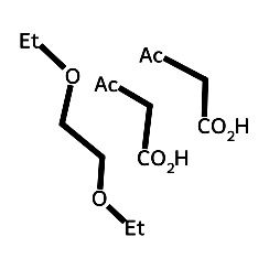 CC(=O)CC(=O)O.CC(=O)CC(=O)O.CCOCCOCC